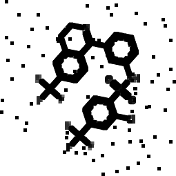 O=S(=O)(Nc1cccc(C2=NCCc3cc(C(F)(F)F)ccc32)c1)c1ccc(C(F)(F)F)cc1Cl